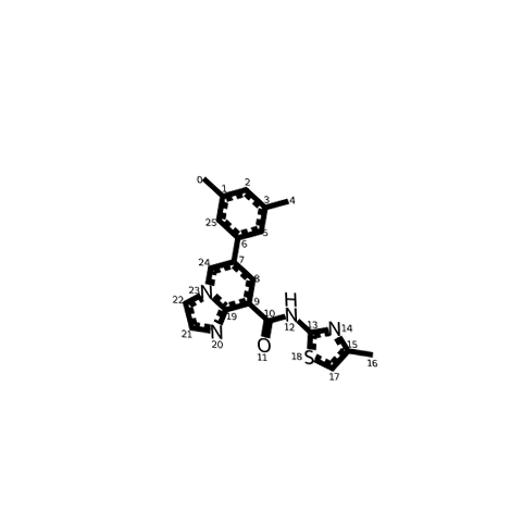 Cc1cc(C)cc(-c2cc(C(=O)Nc3nc(C)cs3)c3nccn3c2)c1